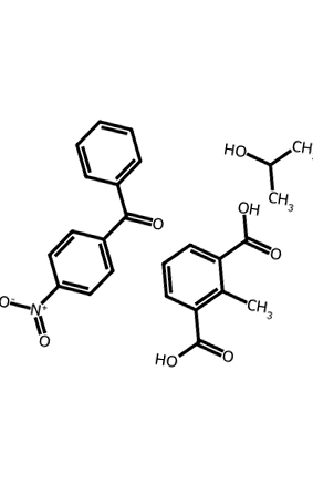 CC(C)O.Cc1c(C(=O)O)cccc1C(=O)O.O=C(c1ccccc1)c1ccc([N+](=O)[O-])cc1